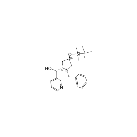 CC(C)(C)[Si](C)(C)O[C@@H]1C[C@@H](C(O)c2cccnc2)N(Cc2ccccc2)C1